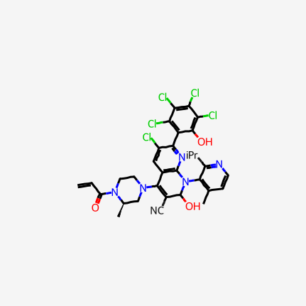 C=CC(=O)N1CCN(C2=C(C#N)C(O)N(c3c(C)ccnc3C(C)C)c3nc(-c4c(O)c(Cl)c(Cl)c(Cl)c4Cl)c(Cl)cc32)C[C@H]1C